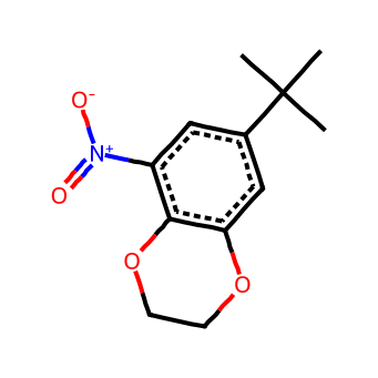 CC(C)(C)c1cc2c(c([N+](=O)[O-])c1)OCCO2